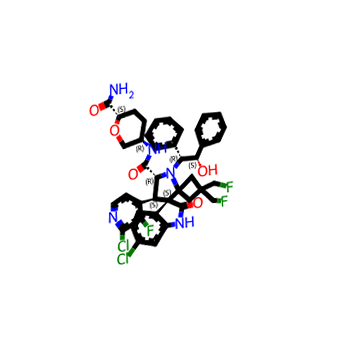 NC(=O)[C@@H]1CC[C@@H](NC(=O)[C@H]2[C@H](c3ccnc(Cl)c3F)[C@@]3(C(=O)Nc4cc(Cl)ccc43)C3(CC(CF)(CF)C3)N2[C@H](c2ccccc2)[C@@H](O)c2ccccc2)CO1